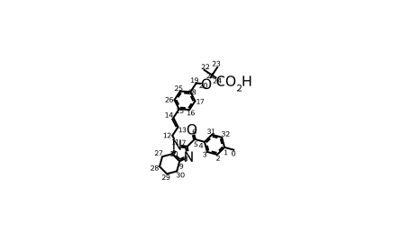 Cc1ccc(C(=O)c2nc3c(n2C/C=C/c2ccc(COC(C)(C)C(=O)O)cc2)CCCC3)cc1